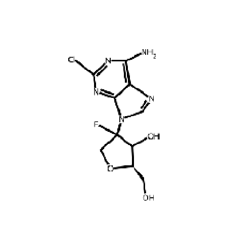 Nc1nc(Cl)nc2c1ncn2C1(F)CO[C@H](CO)C1O